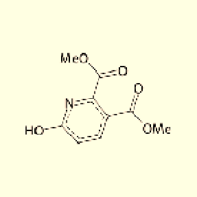 COC(=O)c1ccc(O)nc1C(=O)OC